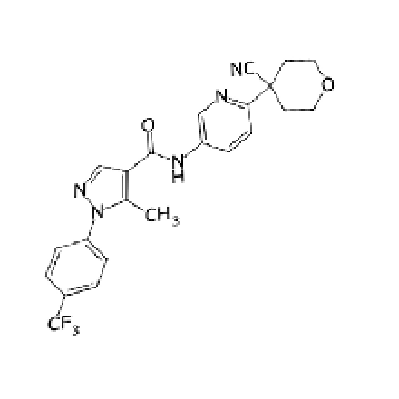 Cc1c(C(=O)Nc2ccc(C3(C#N)CCOCC3)nc2)cnn1-c1ccc(C(F)(F)F)cc1